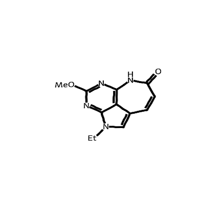 CCn1cc2c3c(nc(OC)nc31)NC(=O)C=C2